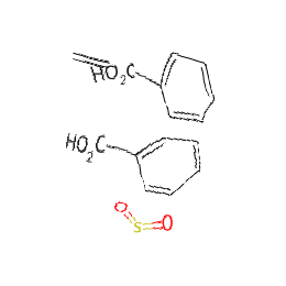 C=C.O=C(O)c1ccccc1.O=C(O)c1ccccc1.O=S=O